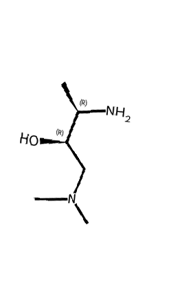 C[C@@H](N)[C@H](O)CN(C)C